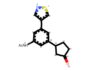 CC(=O)Nc1cc(-c2cnsc2)cc(C2CCC(=O)C2)c1